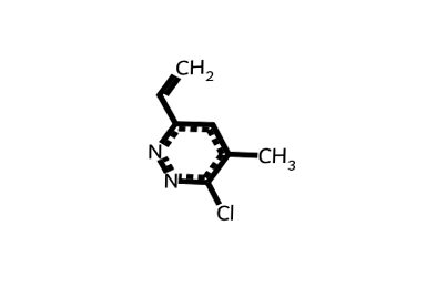 C=Cc1cc(C)c(Cl)nn1